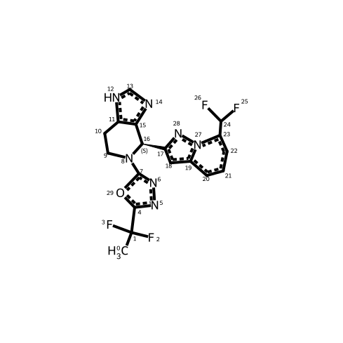 CC(F)(F)c1nnc(N2CCc3[nH]cnc3[C@H]2c2cc3cccc(C(F)F)n3n2)o1